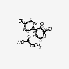 CCC(=O)O.Clc1cnc(-c2ccnc(Cl)c2Cl)cn1